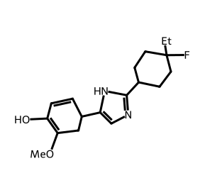 CCC1(F)CCC(c2ncc(C3C=CC(O)=C(OC)C3)[nH]2)CC1